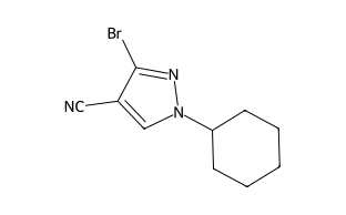 N#Cc1cn(C2CCCCC2)nc1Br